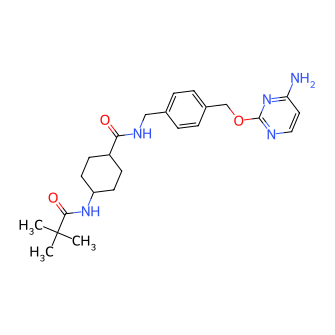 CC(C)(C)C(=O)NC1CCC(C(=O)NCc2ccc(COc3nccc(N)n3)cc2)CC1